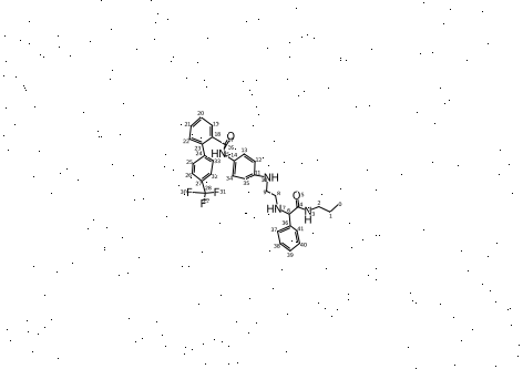 CCCNC(=O)C(NCCNc1ccc(NC(=O)c2ccccc2-c2ccc(C(F)(F)F)cc2)cc1)c1ccccc1